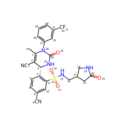 CC1=C(C#N)[C@@H](c2ccc(C#N)cc2S(=O)(=O)NCC2CNC(=O)C2)NC(=O)N1c1cccc(C(F)(F)F)c1